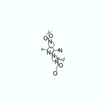 COCCC(=O)N1CCN(c2nc(C3CC3)c3c(c2C#N)CCN(C(=O)OC(C)(C)C)C3)C[C@H]1C1CC1